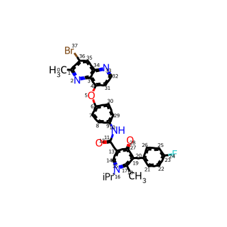 Cc1nc2c(Oc3ccc(NC(=O)c4cn(C(C)C)c(C)c(-c5ccc(F)cc5)c4=O)cc3)ccnc2cc1Br